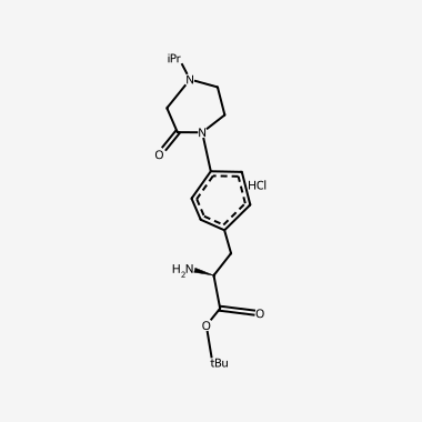 CC(C)N1CCN(c2ccc(C[C@H](N)C(=O)OC(C)(C)C)cc2)C(=O)C1.Cl